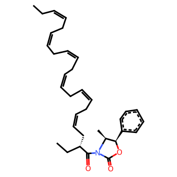 CC/C=C\C/C=C\C/C=C\C/C=C\C/C=C\C/C=C\C[C@@H](CC)C(=O)N1C(=O)O[C@H](c2ccccc2)[C@@H]1C